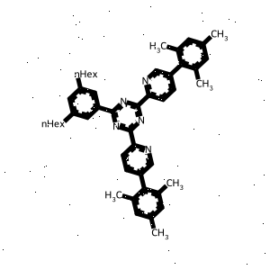 CCCCCCc1cc(CCCCCC)cc(-c2nc(-c3ccc(-c4c(C)cc(C)cc4C)cn3)nc(-c3ccc(-c4c(C)cc(C)cc4C)cn3)n2)c1